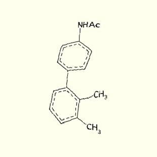 CC(=O)Nc1ccc(-c2cccc(C)c2C)cc1